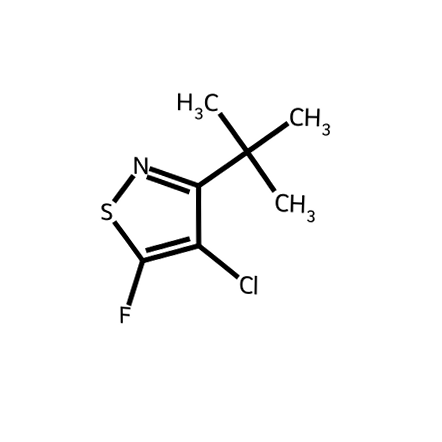 CC(C)(C)c1nsc(F)c1Cl